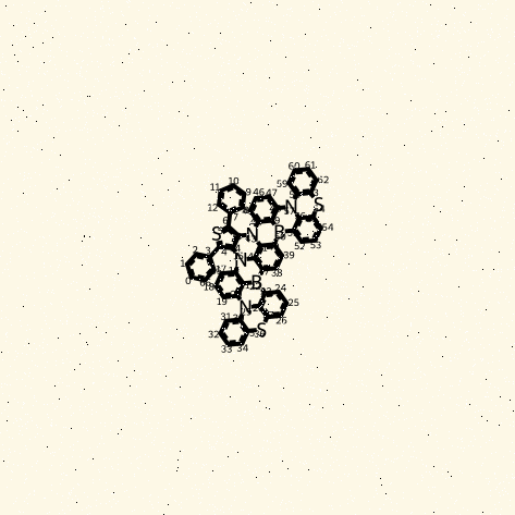 c1ccc(-c2sc(-c3ccccc3)c3c2N2c4cccc5c4B(c4cccc6c4N5c4ccccc4S6)c4ccc5c(c42)N3c2cccc3c2B5c2cccc4c2N3c2ccccc2S4)cc1